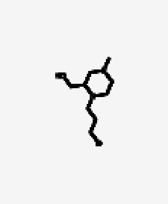 CN1CCN(CCC[O])[C@@H](CO)C1